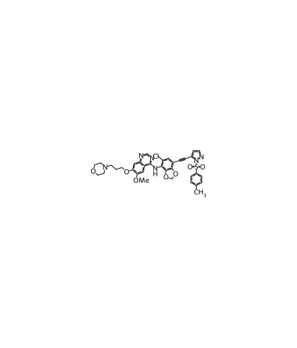 COc1cc2c(Nc3c(Cl)cc(C#Cc4ccnn4S(=O)(=O)c4ccc(C)cc4)c4c3OCO4)ncnc2cc1OCCCN1CCOCC1